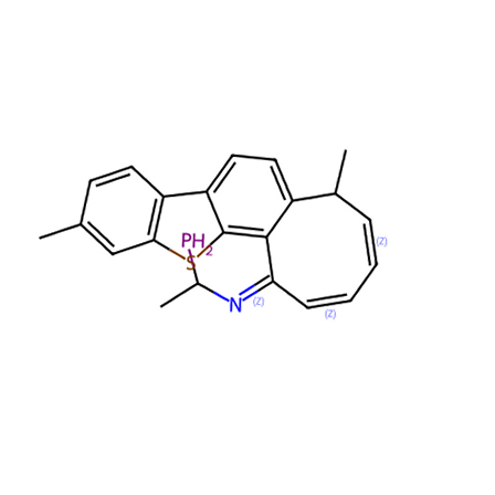 Cc1ccc2c(c1)sc1c3c(ccc12)C(C)\C=C/C=C\C3=N\C(C)P